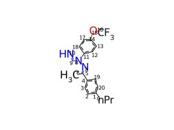 CCCc1ccc(/C(C)=N/N(C=N)c2ccc(OC(F)(F)F)cc2)cc1